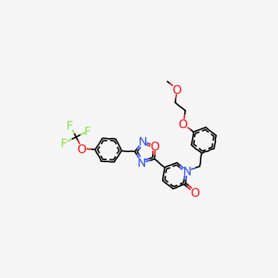 COCCOc1cccc(Cn2cc(-c3nc(-c4ccc(OC(F)(F)F)cc4)no3)ccc2=O)c1